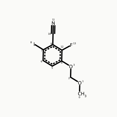 COCOc1ccc(I)c(C#N)c1F